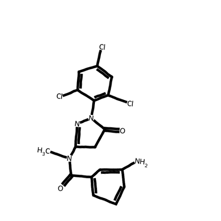 CN(C(=O)c1cccc(N)c1)C1=NN(c2c(Cl)cc(Cl)cc2Cl)C(=O)C1